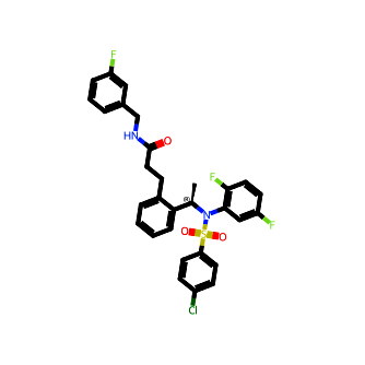 C[C@H](c1ccccc1CCC(=O)NCc1cccc(F)c1)N(c1cc(F)ccc1F)S(=O)(=O)c1ccc(Cl)cc1